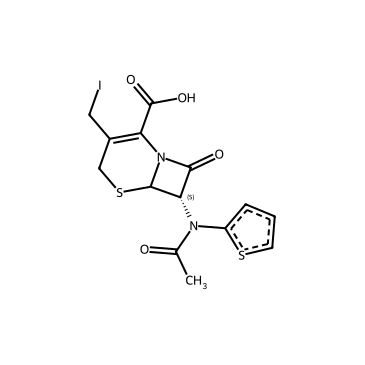 CC(=O)N(c1cccs1)[C@H]1C(=O)N2C(C(=O)O)=C(CI)CSC12